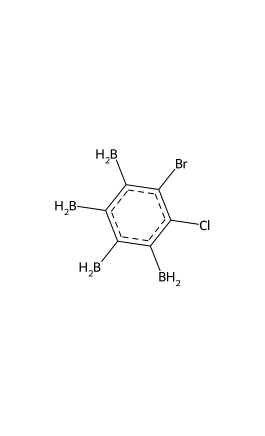 Bc1c(B)c(B)c(Br)c(Cl)c1B